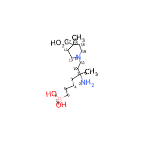 CC(N)(CCCCB(O)O)CCN1CCC(C)(C(=O)O)CC1